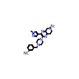 CC(=O)N1CCc2nc(N3CCN(Cc4cccc(C#N)c4)CC3)c(-c3cnn(C)c3)nc2C1